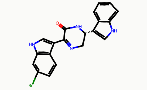 O=C1N[C@H](c2c[nH]c3ccccc23)CN=C1c1c[nH]c2cc(Br)ccc12